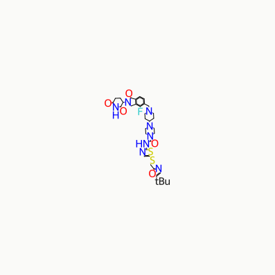 CC(C)(C)c1cnc(CSc2cnc(NC(=O)N3CCN(C4CCN(Cc5ccc6c(c5F)CN(C5CCC(=O)NC5=O)C6=O)CC4)CC3)s2)o1